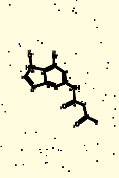 CC(=O)CC(=O)Nc1cc(Br)c2c(c1)N=C[NH+]2[O-]